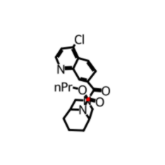 CCCOC(=O)N1C2CCCC1CN(C(=O)c1ccc3c(Cl)ccnc3c1)C2